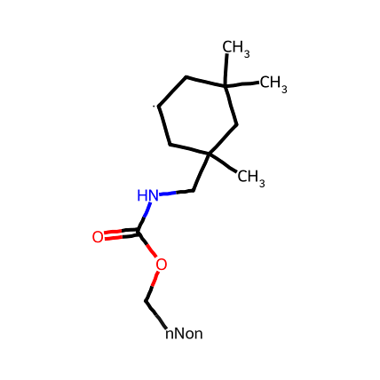 CCCCCCCCCCOC(=O)NCC1(C)C[CH]CC(C)(C)C1